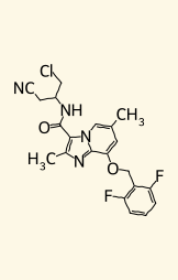 Cc1cc(OCc2c(F)cccc2F)c2nc(C)c(C(=O)NC(CCl)CC#N)n2c1